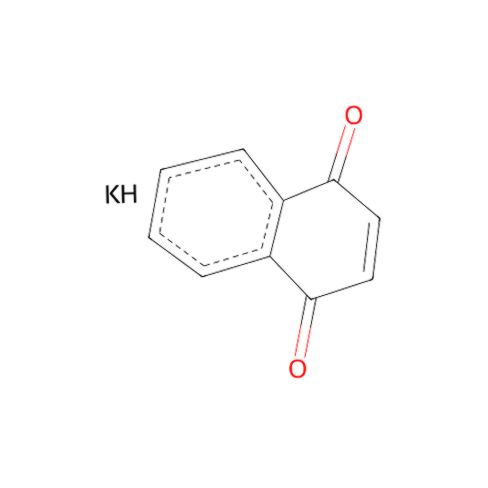 O=C1C=CC(=O)c2ccccc21.[KH]